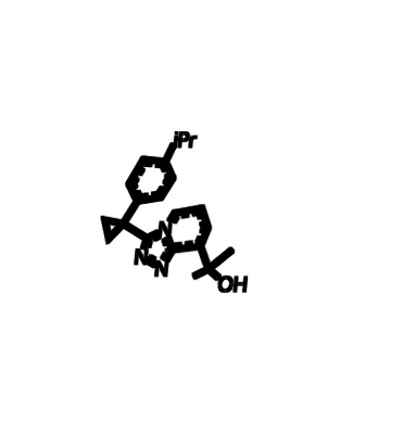 CC(C)c1ccc(C2(c3nnc4c(C(C)(C)O)cccn34)CC2)cc1